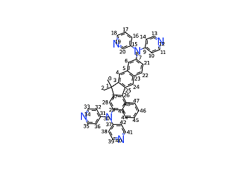 CC1(C)c2cc3cc(N(c4ccncc4)c4cccnc4)ccc3cc2-c2c1cc(N(c1ccncc1)c1ccncc1)c1ccccc21